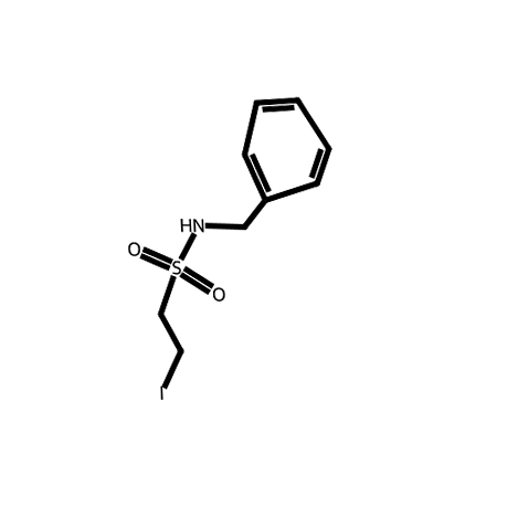 O=S(=O)(CCI)NCc1ccccc1